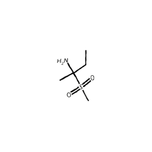 CCC(C)(N)S(C)(=O)=O